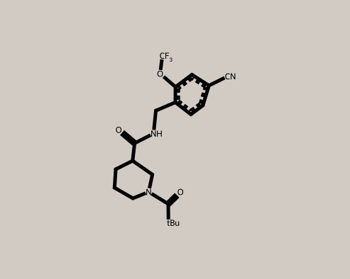 CC(C)(C)C(=O)N1CCCC(C(=O)NCc2ccc(C#N)cc2OC(F)(F)F)C1